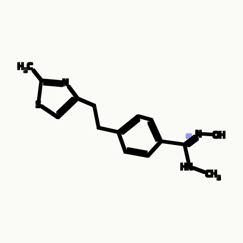 CN/C(=N\O)c1ccc(CCc2csc(C)n2)cc1